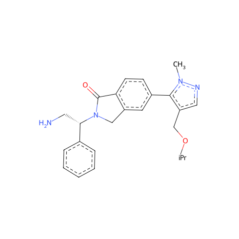 CC(C)OCc1cnn(C)c1-c1ccc2c(c1)CN([C@@H](CN)c1ccccc1)C2=O